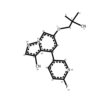 CC(C)(C#N)COc1cc(-c2ccc(F)nc2)c2c(C#N)cnn2c1